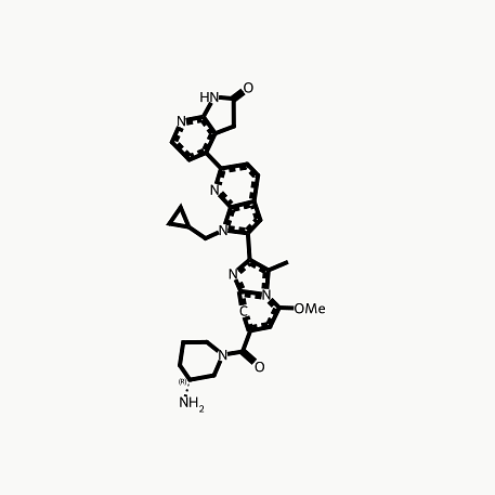 COc1cc(C(=O)N2CCC[C@@H](N)C2)cc2nc(-c3cc4ccc(-c5ccnc6c5CC(=O)N6)nc4n3CC3CC3)c(C)n12